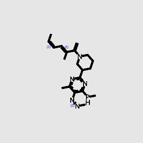 C=C(/C(C)=C/C=C\C)N1CCCC(c2nc(C)c(/N=N\C)c(PC)n2)C1